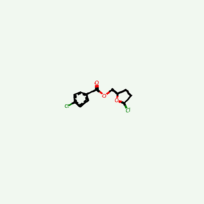 O=C(OCC1CCC(Cl)O1)c1ccc(Cl)cc1